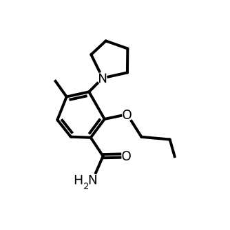 CCCOc1c(C(N)=O)ccc(C)c1N1CCCC1